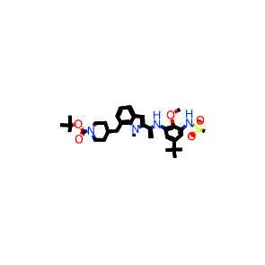 C=C(Nc1cc(C(C)(C)C)cc(NS(C)(=O)=O)c1OC)c1cc2cccc(CC3CCN(C(=O)OC(C)(C)C)CC3)c2n1C